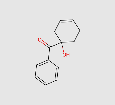 O=C(c1ccccc1)C1(O)CC=CCC1